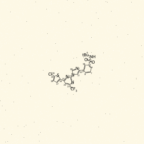 CC(C)(C)NS(=O)(=O)c1cccc(-c2cn(-c3nc(-c4ccc(Cl)s4)cc(C(F)(F)F)n3)cn2)c1